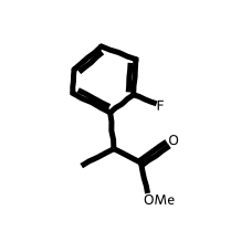 COC(=O)C(C)c1ccccc1F